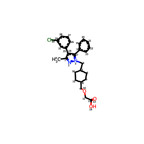 Cc1nn(CC2CCC(COCC(=O)O)CC2)c(-c2ccccc2)c1-c1cccc(Cl)c1